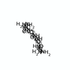 CCN(N=C(N)N)C(=O)c1cc2cc(NC(=O)c3cc4cc(C(=O)NC(C)N=C(N)N)ccc4[nH]3)ccc2[nH]1